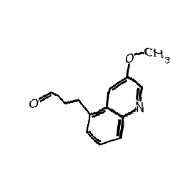 COc1cnc2cccc(CCC=O)c2c1